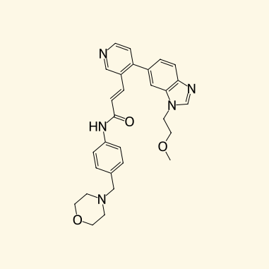 COCCn1cnc2ccc(-c3ccncc3/C=C/C(=O)Nc3ccc(CN4CCOCC4)cc3)cc21